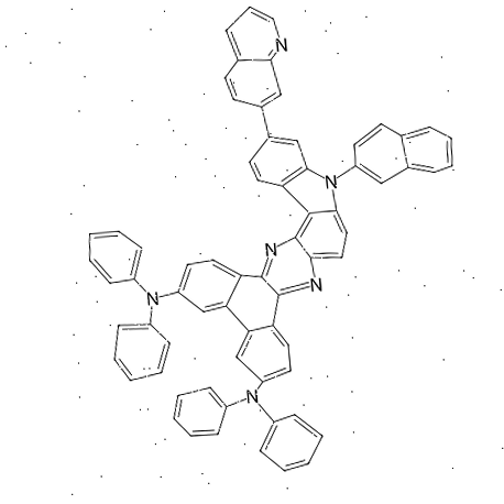 c1ccc(N(c2ccccc2)c2ccc3c(c2)c2cc(N(c4ccccc4)c4ccccc4)ccc2c2nc4c(ccc5c4c4ccc(-c6ccc7cccnc7c6)cc4n5-c4ccc5ccccc5c4)nc32)cc1